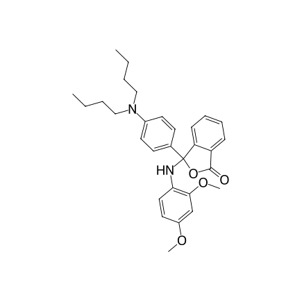 CCCCN(CCCC)c1ccc(C2(Nc3ccc(OC)cc3OC)OC(=O)c3ccccc32)cc1